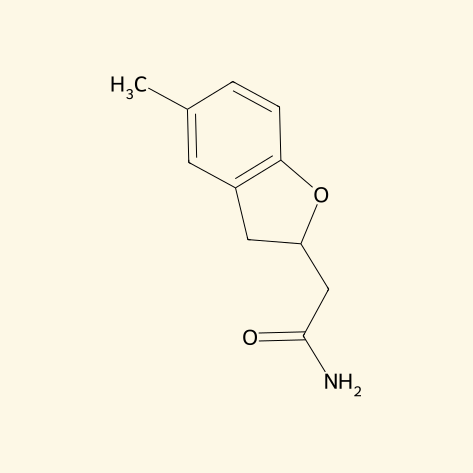 Cc1ccc2c(c1)CC(CC(N)=O)O2